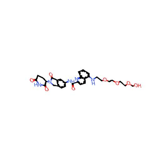 O=C1CCC(N2Cc3ccc(NC(=O)c4ccc5c(NCCOCCOCCOCO)cccc5n4)cc3C2=O)C(=O)N1